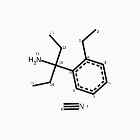 C#N.CCc1ccccc1C(N)(CC)CC